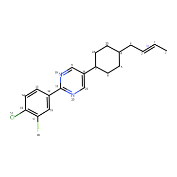 C/C=C/CC1CCC(c2cnc(-c3ccc(Cl)c(F)c3)nc2)CC1